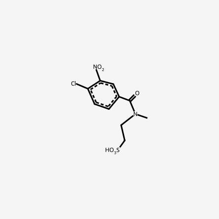 CN(CCS(=O)(=O)O)C(=O)c1ccc(Cl)c([N+](=O)[O-])c1